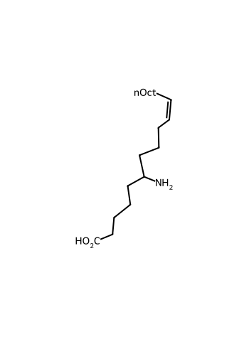 CCCCCCCC/C=C\CCCC(N)CCCCC(=O)O